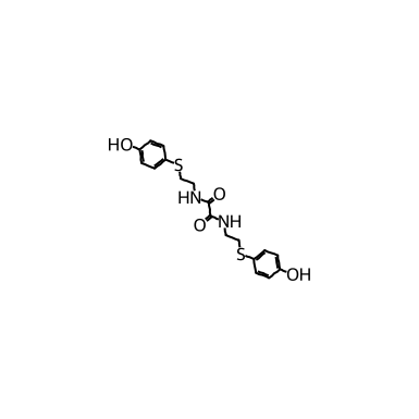 O=C(NCCSc1ccc(O)cc1)C(=O)NCCSc1ccc(O)cc1